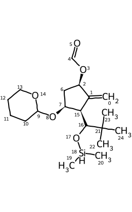 C=C1[C@H](OC=O)C[C@H](OC2CCCCO2)[C@@H]1C(O[SiH](C)C)C(C)(C)C